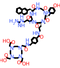 CN1C(=O)[C@@H](Cc2ccc(O)cc2)NC(=O)CNC(=O)[C@H](Cc2ccc3ccccc3c2)NC(=O)C(CCCNC(=N)N)NC(=O)[C@H]1CCCNC(=O)c1ccc(CNC(=O)CN2CCN(CC(=O)O)CCN(CC(=O)O)CCN(CC(=O)O)CC2)cc1